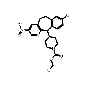 CCOC(=O)N1CCC(C2c3ccc(Cl)cc3CCc3cc([N+](=O)[O-])cnc32)CC1